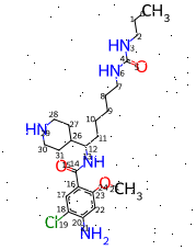 CCCNC(=O)NCCCCCC(NC(=O)c1cc(Cl)c(N)cc1OC)C1CCNCC1